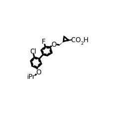 CC(C)Oc1ccc(Cl)c(-c2ccc(OC[C@@H]3C[C@H]3C(=O)O)c(F)c2)c1